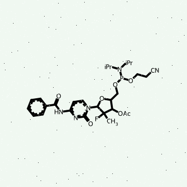 CC(=O)OC1C(COP(OCCC#N)N(C(C)C)C(C)C)OC(n2ccc(NC(=O)c3ccccc3)nc2=O)C1(C)F